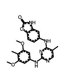 COc1cc(Nc2ncc(C)c(Nc3ccc4oc(=O)[nH]c4c3)n2)cc(OC)c1C